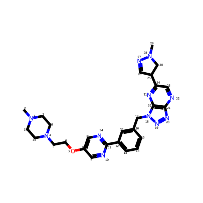 CN1CCN(CCOc2cnc(-c3cccc(Cn4nnc5ncc(C6C=NN(C)C6)nc54)c3)nc2)CC1